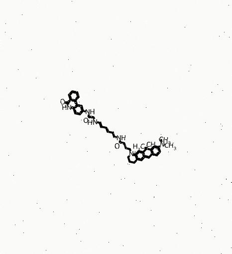 CN(C)c1ccc2c(c1)C(C)(C)c1cc3c(cc1=C2)CCC[N+]=3CCCC(=O)NCCCCCCNCC(=O)Nc1ccc2[nH]c(=O)c3ccccc3c2c1